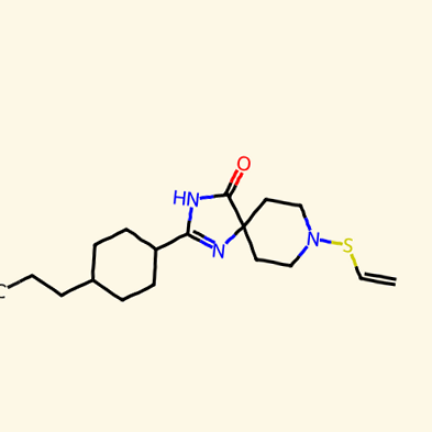 C=CSN1CCC2(CC1)N=C(C1CCC(CCC(F)(F)F)CC1)NC2=O